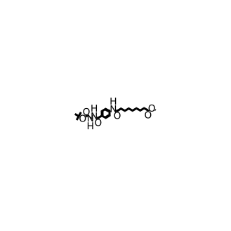 COC(=O)CCCCCCCC(=O)Nc1ccc(C(=O)NNC(=O)OC(C)(C)C)cc1